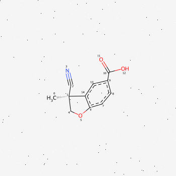 C[C@@]1(C#N)COc2ccc(C(=O)O)cc21